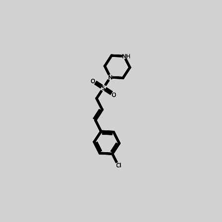 O=S(=O)(CC=Cc1ccc(Cl)cc1)N1CCNCC1